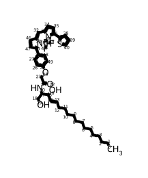 CCCCCCCCCCCCCC=CC(O)C(CO)NC(=O)COc1ccc(C2=[N+]3C(=Cc4ccc(-c5cccs5)n4[B-]3(F)F)C=C2)cc1